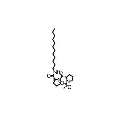 CCCCCCCCCCCCNC(=O)[C@@H]1CCCN1C(=O)[C@@H]1CCCN1S(C)(=O)=O